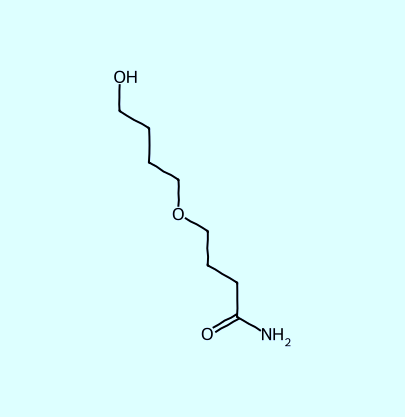 NC(=O)CCCOCCCCO